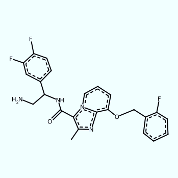 Cc1nc2c(OCc3ccccc3F)cccn2c1C(=O)NC(CN)c1ccc(F)c(F)c1